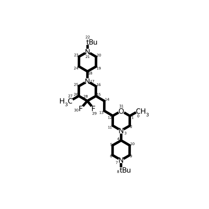 CC1CN(C2CCN(C(C)(C)C)CC2)CC(CCC2CN(C3CCN(C(C)(C)C)CC3)CC(C)C2(F)F)O1